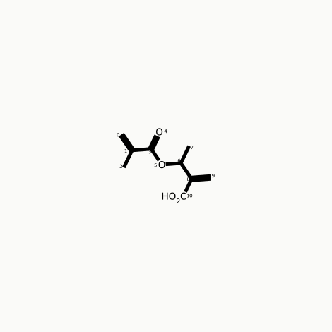 C=C(C)C(=O)OC(C)C(=C)C(=O)O